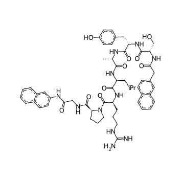 CC(C)C[C@H](NC(=O)[C@H](C)NC(=O)[C@H](Cc1ccc(O)cc1)NC(=O)[C@H](CO)NC(=O)Cc1ccc2ccccc2c1)C(=O)N[C@@H](CCCNC(=N)N)C(=O)N1CCC[C@H]1C(=O)NCC(=O)Nc1ccc2ccccc2c1